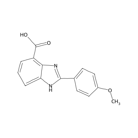 COc1ccc(-c2nc3c(C(=O)O)cccc3[nH]2)cc1